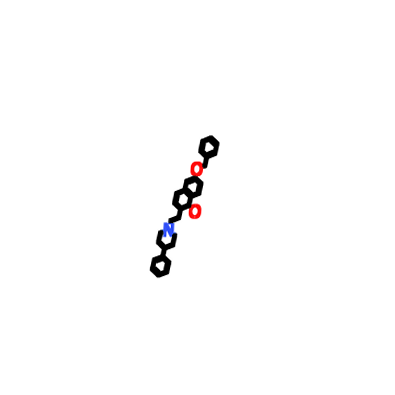 O=C1c2ccc(OCc3ccccc3)cc2C=CC1CCN1CCC(c2ccccc2)CC1